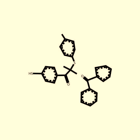 Cc1ccc(SC(C)(C)C(=O)c2ccc(S)cc2)cc1.O=C(c1ccccc1)c1ccccc1